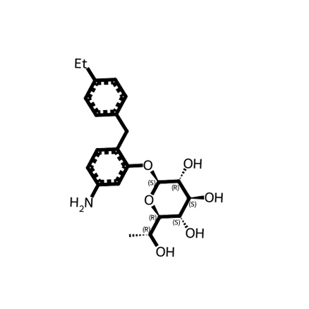 CCc1ccc(Cc2ccc(N)cc2O[C@@H]2O[C@H]([C@@H](C)O)[C@@H](O)[C@H](O)[C@H]2O)cc1